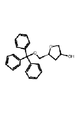 O[C@@H]1CO[C@H](COC(c2ccccc2)(c2ccccc2)c2ccccc2)C1